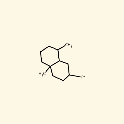 CC(C)C1CCC2(C)CCCC(C)C2C1